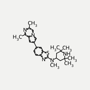 Cc1cn2cc(-c3ccc4nc(N(C)C5CC(C)(C)NC(C)(C)C5)sc4c3)cc2c(C)n1